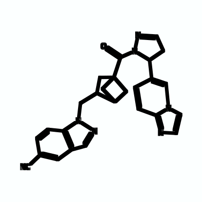 N#Cc1ccc2c(cnn2CC2CC3(C(=O)N4N=CCC4c4ccc5nccn5c4)CC2C3)c1